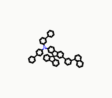 c1ccc(-c2ccc(N(c3cccc(-c4ccccc4)c3)c3ccc4c(c3)C3(c5ccccc5-c5ccccc53)c3cc(-c5cccc(-c6cccc7ccccc67)c5)ccc3-4)cc2)cc1